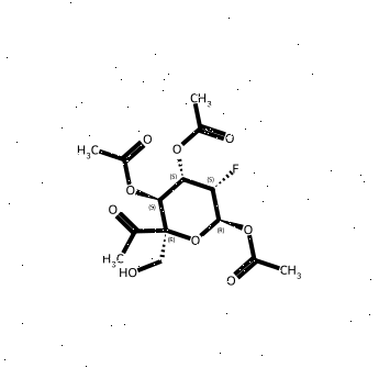 CC(=O)O[C@H]1O[C@@](CO)(C(C)=O)[C@@H](OC(C)=O)[C@H](OC(C)=O)[C@@H]1F